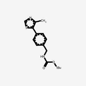 Cc1ncsc1-c1ccc(CNC(=O)OC(C)(C)C)cc1